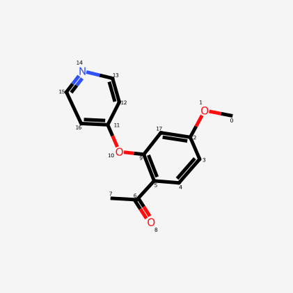 COc1ccc(C(C)=O)c(Oc2ccncc2)c1